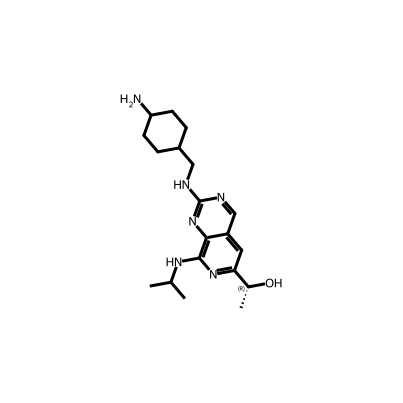 CC(C)Nc1nc([C@@H](C)O)cc2cnc(NCC3CCC(N)CC3)nc12